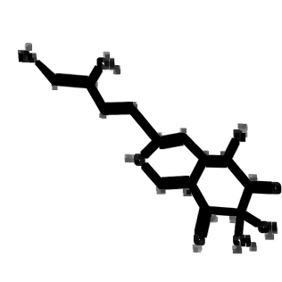 CC[C@H](C)/C=C(C)/C=C/C1=CC2=C(Br)C(=O)C(C)(O)C(=O)C2=CO1